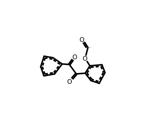 O=[C]Oc1ccccc1C(=O)C(=O)c1ccccc1